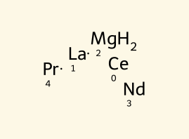 [Ce].[La].[MgH2].[Nd].[Pr]